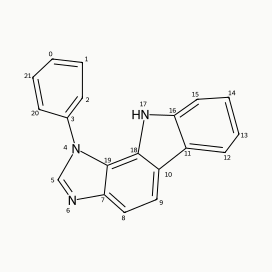 c1ccc(-n2cnc3ccc4c5ccccc5[nH]c4c32)cc1